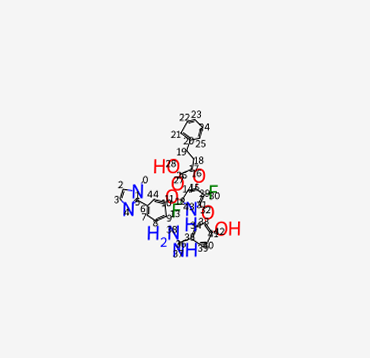 Cn1ccnc1-c1cccc(OC2(F)C=C(OC(CCc3ccccc3)C(=O)O)C(F)=C(Oc3cc(C(=N)N)ccc3O)N2)c1